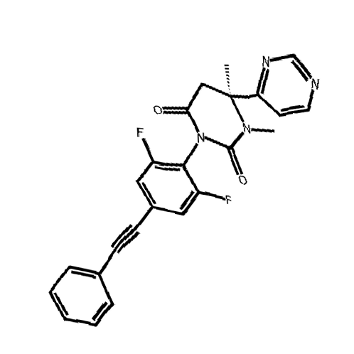 CN1C(=O)N(c2c(F)cc(C#Cc3ccccc3)cc2F)C(=O)C[C@@]1(C)c1ccncn1